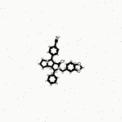 N#Cc1ccc(C2C3C(=O)N(Cc4ccc5c(c4)OCO5)C(c4ccccc4)C3C3CCCN32)cc1